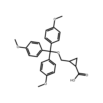 COc1ccc(C(OCC2CC2C(=O)O)(c2ccc(OC)cc2)c2ccc(OC)cc2)cc1